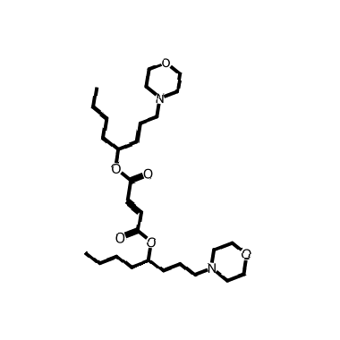 CCCCC(CCCN1CCOCC1)OC(=O)/C=C/C(=O)OC(CCCC)CCCN1CCOCC1